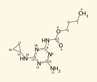 CCCCOC(=O)Nc1nc(N)nc(NC2CC2)n1